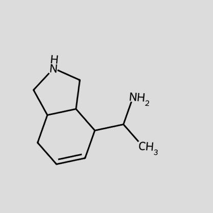 CC(N)C1C=CCC2CNCC21